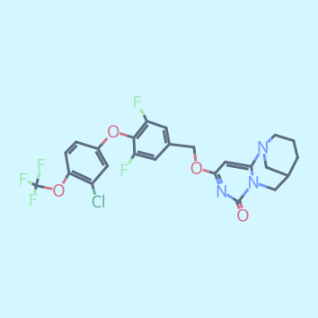 O=c1nc(OCc2cc(F)c(Oc3ccc(OC(F)(F)F)c(Cl)c3)c(F)c2)cc2n1CC1CCCN2C1